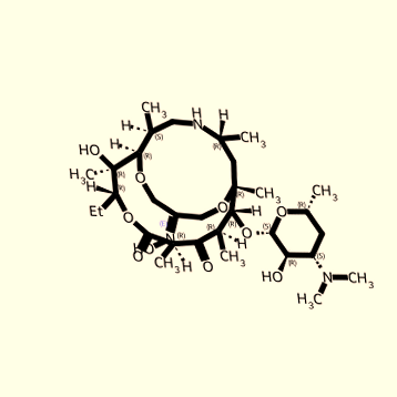 CC[C@H]1OC(=O)[C@H](C)C(=O)[C@H](C)[C@@H](O[C@@H]2O[C@H](C)C[C@H](N(C)C)[C@H]2O)[C@@]2(C)C[C@@H](C)NC[C@H](C)[C@@H](OC/C(=N\O)CO2)[C@]1(C)O